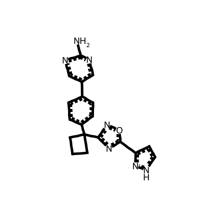 Nc1ncc(-c2ccc(C3(c4noc(-c5cc[nH]n5)n4)CCC3)cc2)cn1